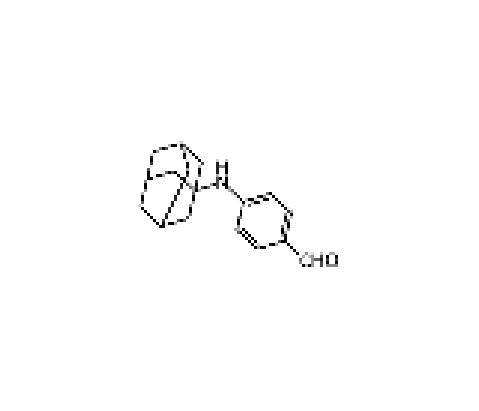 O=Cc1ccc(NC23CC4CC(CC(C4)C2)C3)cc1